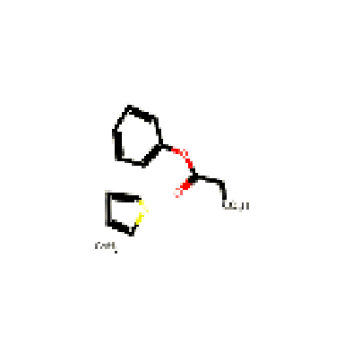 O=C(O)CC(=O)Oc1ccccc1.[CaH2].c1ccsc1